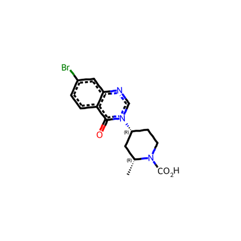 C[C@@H]1C[C@H](n2cnc3cc(Br)ccc3c2=O)CCN1C(=O)O